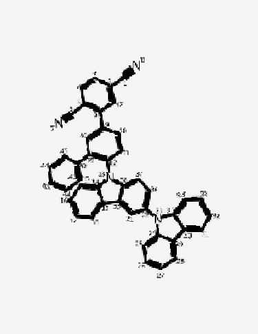 N#Cc1ccc(C#N)c(-c2ccc(-n3c4ccccc4c4cc(-n5c6ccccc6c6ccccc65)ccc43)c(-c3ccccc3)c2)c1